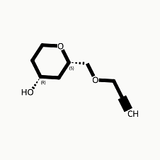 C#CCOC[C@@H]1C[C@H](O)CCO1